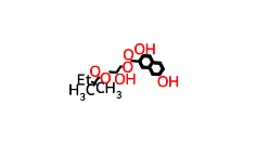 CCC(C)(C)C(=O)OCC(O)COC(=O)c1cc2cc(O)ccc2cc1O